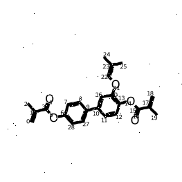 C=C(C)C(=O)Oc1ccc(-c2ccc(OC(=O)C(=C)C)c(OC=C(C)C)c2)cc1